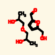 CC(O)COCC(C)O.O=Cc1ccc(CO)o1